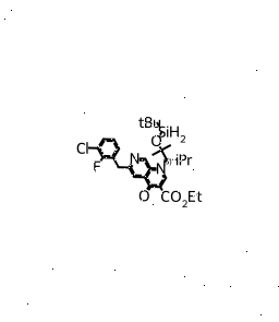 CCOC(=O)c1cn([C@@H](C(C)C)C(C)(C)O[SiH2]C(C)(C)C)c2cnc(Cc3cccc(Cl)c3F)cc2c1=O